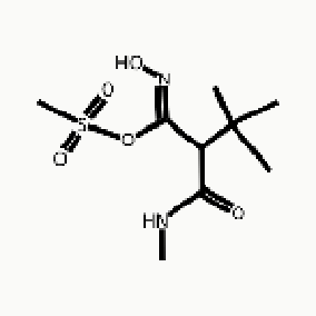 CNC(=O)C(C(=NO)OS(C)(=O)=O)C(C)(C)C